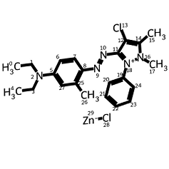 CCN(CC)c1ccc(N=Nc2c(Cl)c(C)n(C)[n+]2-c2ccccc2)c(C)c1.[Cl][Zn-]